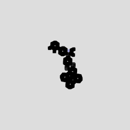 C/C=C(\C)N(c1ccc(-c2cccc(C)c2C)cc1)c1ccc2c(c1)Oc1ccc3c(c1O2)-c1ccccc1C31c2ccccc2-c2ccccc21